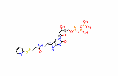 O=C(CCSSc1ccccn1)NC/C=C1\Nc2nc(=O)n([C@H]3CC(O)[C@@H](COPOP(O)OP(O)O)O3)cc21